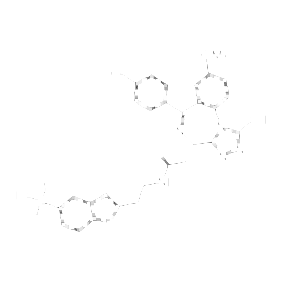 COc1ccc2c(c1)C(c1ccc(Cl)cc1)=N[C@@H](CC(=O)NCCc1cc3cc([Si](C)(C)O)ccc3s1)c1nnc(C)n1-2